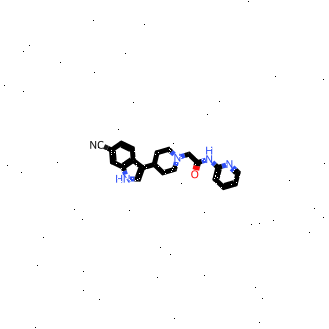 N#Cc1ccc2c(C3CCN(CC(=O)Nc4ccccn4)CC3)c[nH]c2c1